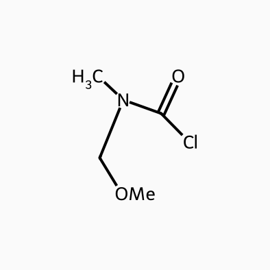 COCN(C)C(=O)Cl